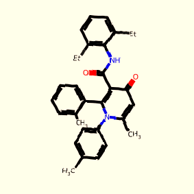 CCc1cccc(CC)c1NC(=O)c1c(-c2ccccc2C)n(-c2ccc(C)cc2)c(C)cc1=O